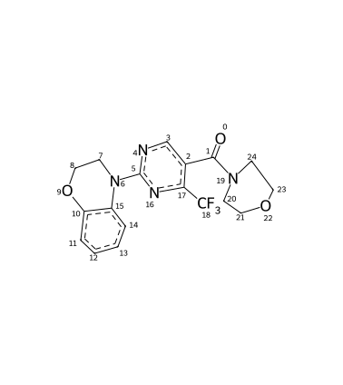 O=C(c1cnc(N2CCOc3ccccc32)nc1C(F)(F)F)N1CCOCC1